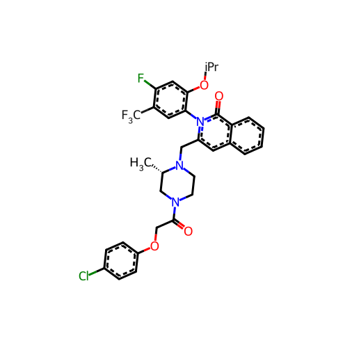 CC(C)Oc1cc(F)c(C(F)(F)F)cc1-n1c(CN2CCN(C(=O)COc3ccc(Cl)cc3)C[C@@H]2C)cc2ccccc2c1=O